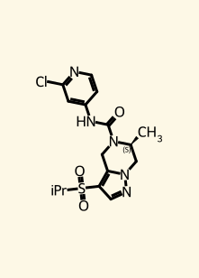 CC(C)S(=O)(=O)c1cnn2c1CN(C(=O)Nc1ccnc(Cl)c1)[C@@H](C)C2